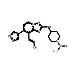 C/C=C/c1c(-c2cn[nH]c2)ccn2nc(NC3CCN([S+](C)[O-])CC3)nc12